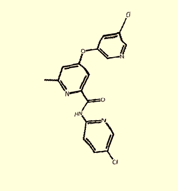 Cc1cc(Oc2cncc(Cl)c2)cc(C(=O)Nc2ccc(Cl)cn2)n1